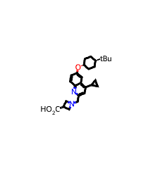 CC(C)(C)[C@H]1CC[C@H](Oc2ccc3nc(CN4CC(C(=O)O)C4)cc(C4CC4)c3c2)CC1